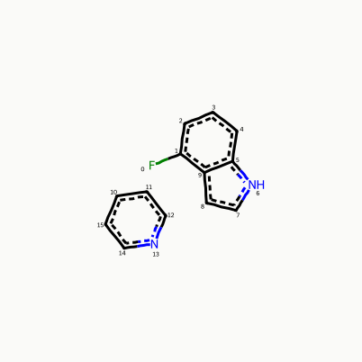 Fc1cccc2[nH]ccc12.c1ccncc1